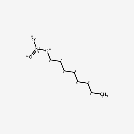 CCCCCCCCO[N+](=O)[O-]